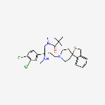 CN[C@](CCN1CCC2(CC1)SCc1ccccc12)(CN(C)C(=O)C(C)(C)C)c1ccc(Cl)c(Cl)c1